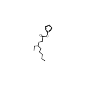 CCCCCC(CC)CCC(=O)Oc1ccccc1